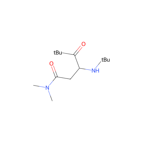 CN(C)C(=O)CC(NC(C)(C)C)C(=O)C(C)(C)C